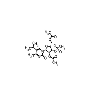 CC(=O)OC[C@H]1O[C@@H](n2cc(C(C)C)c(N)nc2=O)[C@H](OC(C)=O)[C@H]1OS(C)(=O)=O